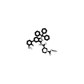 CC(C)(C)OC(=O)N1CCCC(C(=O)Nc2nn(C(c3ccccc3)(c3ccccc3)c3ccccc3)c3ccc(-c4cccc(N)c4F)cc23)C1